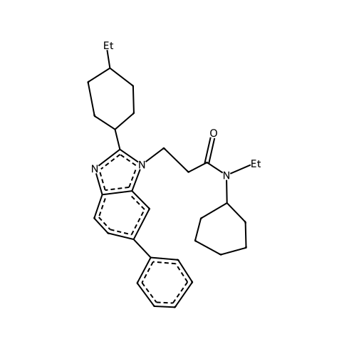 CCC1CCC(c2nc3ccc(-c4ccccc4)cc3n2CCC(=O)N(CC)C2CCCCC2)CC1